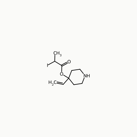 C=CC1(OC(=O)C(C)I)CCNCC1